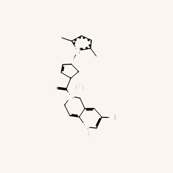 Cc1ccc(C)n1[C@@H]1C=C[C@@](C(=O)N2CC=C3NC=C(C(F)(F)F)C=C3C2)(C(C)C)C1